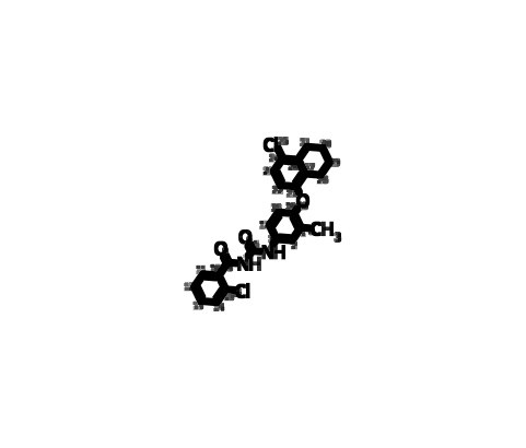 Cc1cc(NC(=O)NC(=O)c2ccccc2Cl)ccc1Oc1ccc(Cl)c2c1CCCC2